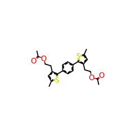 CC(=O)OCCc1cc(C)sc1-c1ccc(-c2sc(C)cc2CCOC(C)=O)cc1